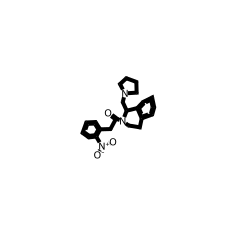 O=C(Cc1ccccc1[N+](=O)[O-])N1CCc2ccccc2C1CN1CCCC1